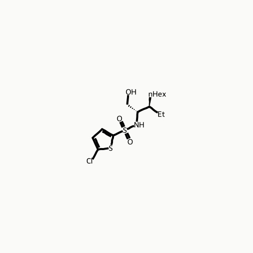 CCCCCC[C@@H](CC)[C@@H](CO)NS(=O)(=O)c1ccc(Cl)s1